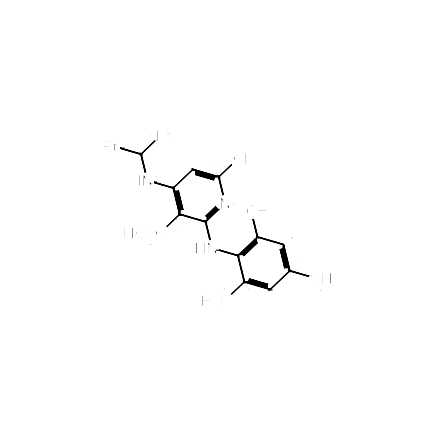 CCC(CC)Nc1cc(C)nc(Nc2c(C)cc(C)cc2C)c1C(=O)O